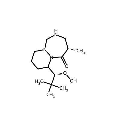 C[C@H]1CNCN2CCCC([C@H](OO)C(C)(C)C)N2C1=O